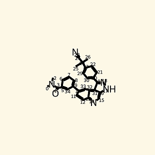 CN(C)C(=O)c1cccc(-c2ccc3ncc4[nH]nc(-c5ccc(C(C)(C)C#N)cc5)c4c3c2)c1